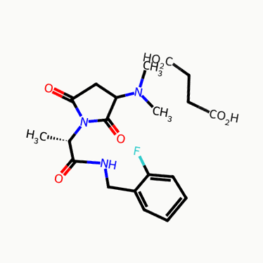 C[C@@H](C(=O)NCc1ccccc1F)N1C(=O)CC(N(C)C)C1=O.O=C(O)CCC(=O)O